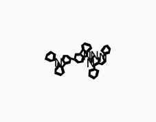 c1ccc(-c2nc(-n3c4ccccc4c4cc(-c5ccc6c(c5)c5ccccc5n6-c5ccccc5)ccc43)nc3c2ccn3-c2ccccc2)cc1